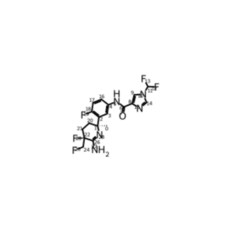 C[C@@]1(c2cc(NC(=O)c3cn(C(F)F)cn3)ccc2F)CC[C@@](F)(CF)C(N)=N1